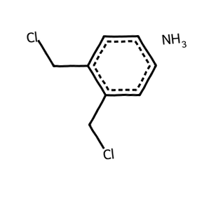 ClCc1ccccc1CCl.N